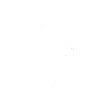 C=CC(=O)N1CC(CNc2cccc3c2N2CCCCCOc4c(cnn4C)-c4cc(cc(C)n4)C(=O)/N=C/2N3)C1